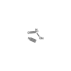 C#N.O=[PH2]O